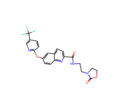 O=C(NCCN1CCOC1=O)c1ccc2cc(Oc3ccc(C(F)(F)F)cn3)ccc2n1